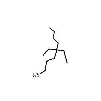 CCCCC(CC)(CC)CCCS